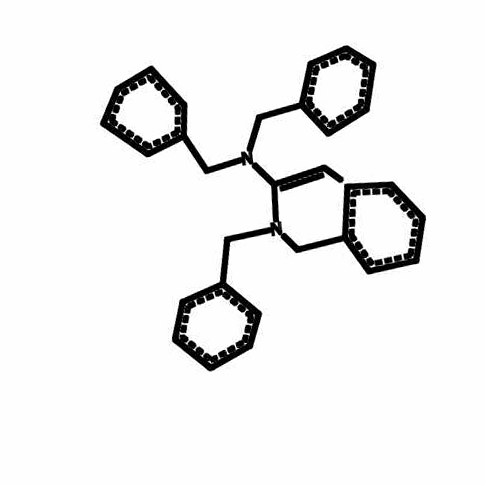 CC=C(N(Cc1ccccc1)Cc1ccccc1)N(Cc1ccccc1)Cc1ccccc1